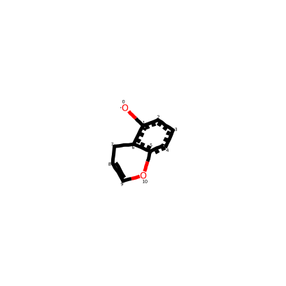 [O]c1cccc2c1CC=CO2